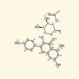 CC(=O)O[C@H]1[C@H](O)[C@H](O)[C@@H](Oc2c(-c3ccc(O)cc3)oc3cc(O)cc(O)c3c2=O)C[C@@H]1C